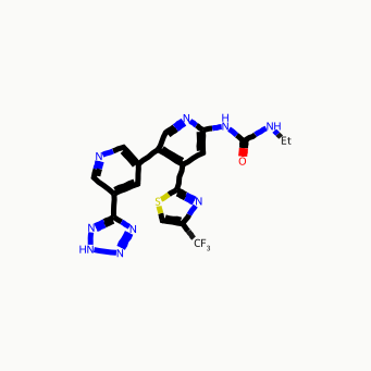 CCNC(=O)Nc1cc(-c2nc(C(F)(F)F)cs2)c(-c2cncc(-c3nn[nH]n3)c2)cn1